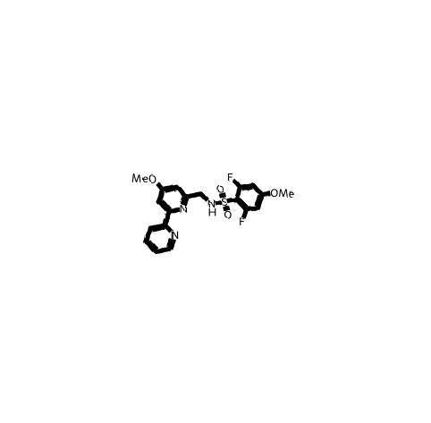 COc1cc(CNS(=O)(=O)c2c(F)cc(OC)cc2F)nc(-c2ccccn2)c1